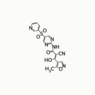 Cc1oncc1/C(O)=C(\C#N)C(=O)Nc1ncc(S(=O)(=O)c2cccnc2)cn1